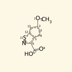 COc1ccc2c(C(=O)O)nsc2c1